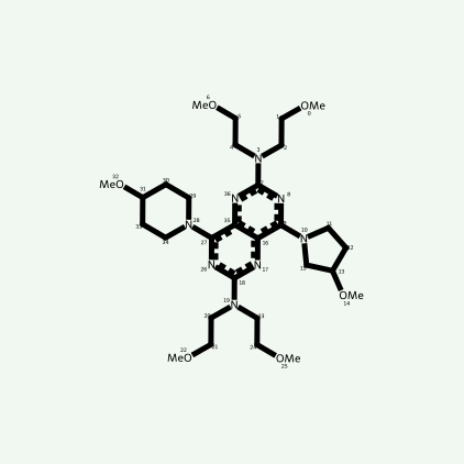 COCCN(CCOC)c1nc(N2CCC(OC)C2)c2nc(N(CCOC)CCOC)nc(N3CCC(OC)CC3)c2n1